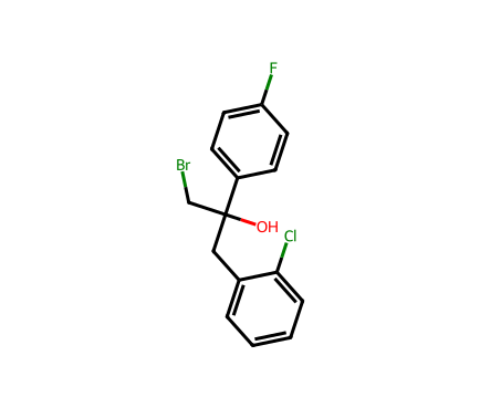 OC(CBr)(Cc1ccccc1Cl)c1ccc(F)cc1